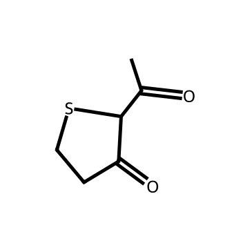 CC(=O)C1SCCC1=O